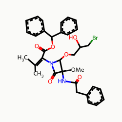 COC1(NC(=O)Cc2ccccc2)C(=O)N(C(C(=O)OC(c2ccccc2)c2ccccc2)=C(C)C)C1OCC(O)CBr